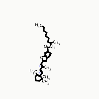 CCCCCCCC(C)NC(=O)c1ccc2cc(/C=C(C)/C=C/C3=C(C)CCCC3(C)C)oc2c1